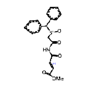 COC(=O)/C=C/C(=O)NC(=O)C[S+]([O-])C(c1ccccc1)c1ccccc1